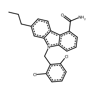 CCCc1c[c]c2c3c(C(N)=O)cccc3n(Cc3c(Cl)cccc3Cl)c2c1